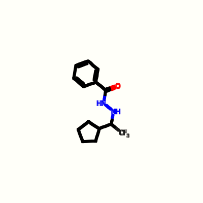 O=C(NNC(C1CCCC1)C(F)(F)F)c1ccccc1